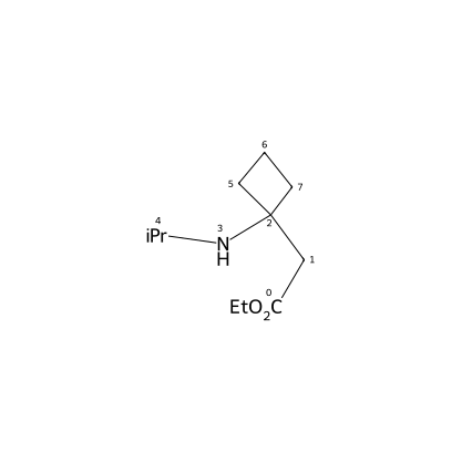 CCOC(=O)CC1(NC(C)C)CCC1